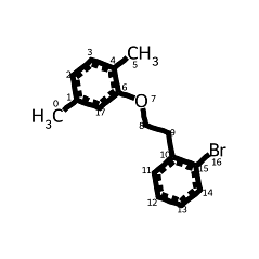 Cc1ccc(C)c(OCCc2ccccc2Br)c1